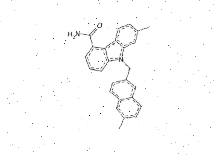 Cc1ccc2cc(Cn3c4cc(C)c[c]c4c4c(C(N)=O)cccc43)ccc2c1